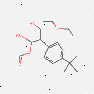 CC(C)(C)c1ccc(C(CO)C(O)OC=O)cc1.CCOCC